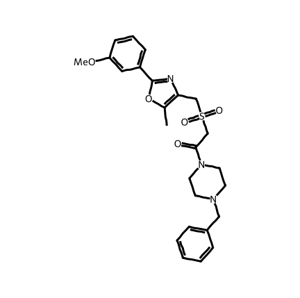 COc1cccc(-c2nc(CS(=O)(=O)CC(=O)N3CCN(Cc4ccccc4)CC3)c(C)o2)c1